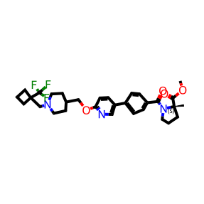 COC(=O)[C@]1(C)CCCN1C(=O)c1ccc(-c2ccc(OCC3CCN(CC4(C(F)(F)F)CCC4)CC3)nc2)cc1